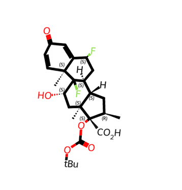 C[C@@H]1C[C@H]2[C@@H]3C[C@H](F)C4=CC(=O)C=C[C@]4(C)C3(F)[C@@H](O)C[C@]2(C)[C@]1(OC(=O)OC(C)(C)C)C(=O)O